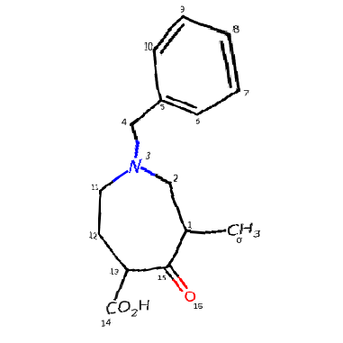 CC1CN(Cc2ccccc2)CCC(C(=O)O)C1=O